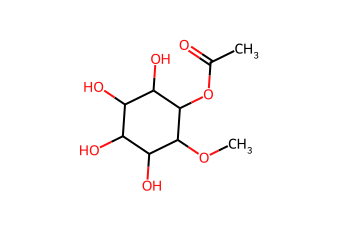 COC1C(O)C(O)C(O)C(O)C1OC(C)=O